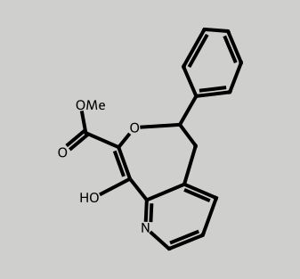 COC(=O)C1=C(O)c2ncccc2CC(c2ccccc2)O1